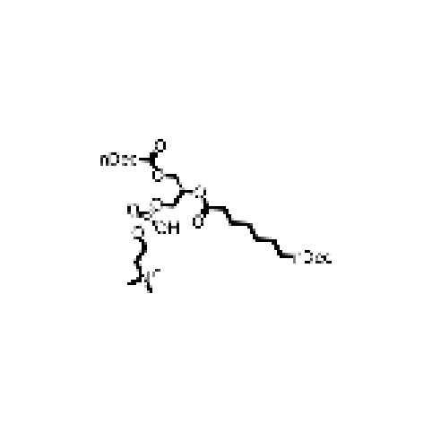 CCCCCCCCCCCCCCCCC(=O)O[C@H](COC(=O)CCCCCCCCCC)COP(=O)(O)OCC[N+](C)(C)C